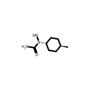 C[C@H]1CC[C@H](N(N=O)C(N)=O)CC1